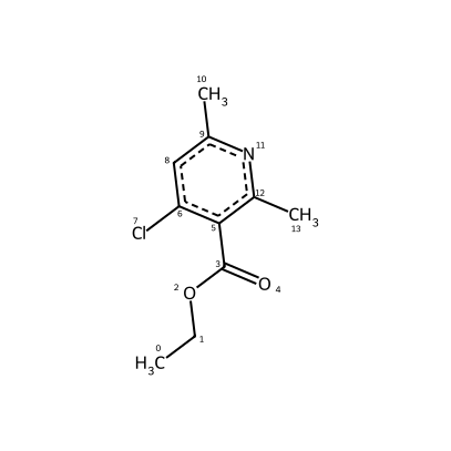 CCOC(=O)c1c(Cl)cc(C)nc1C